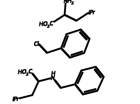 CC(C)CC(N)C(=O)O.CC(C)CC(NCc1ccccc1)C(=O)O.ClCc1ccccc1